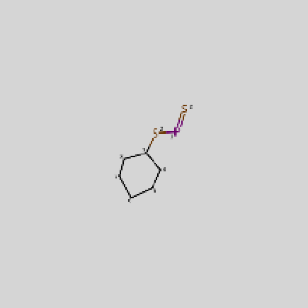 S=PSC1CCCCC1